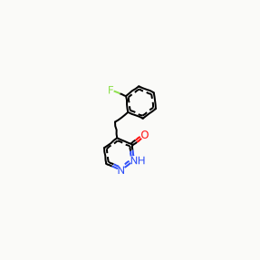 O=c1[nH]nccc1Cc1ccccc1F